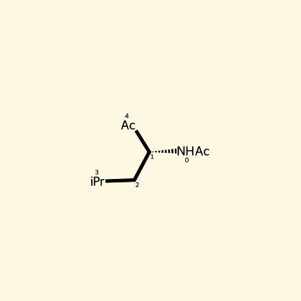 CC(=O)N[C@H](CC(C)C)C(C)=O